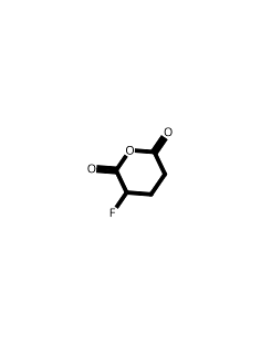 O=C1CCC(F)C(=O)O1